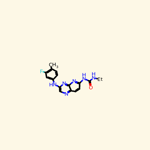 CCNC(=O)Nc1ccc2ncc(Nc3ccc(C)c(F)c3)nc2n1